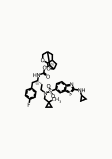 CC1(CN(CC[C@H](Cc2ccc(F)cc2)NC(=O)O[C@H]2C3COC4OC2CC4C3)S(=O)(=O)c2ccc3nc(NC4CC4)sc3c2)CC1